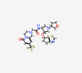 O=C(CN1CCn2c(cc(C(F)(F)F)cc2=O)C1)NC1CN(C2CCOC2)C[C@@H]1OC1CCc2ncsc21